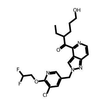 CCC(CCCO)C(=O)c1nccc2nn(Cc3cnc(OCC(F)F)c(Cl)c3)cc12